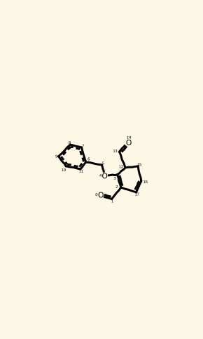 O=CC1=C(OCc2ccccc2)C(C=O)CC=C1